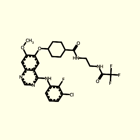 COc1cc2ncnc(Nc3cccc(Cl)c3F)c2cc1OC1CCC(C(=O)NCCNC(=O)C(F)(F)F)CC1